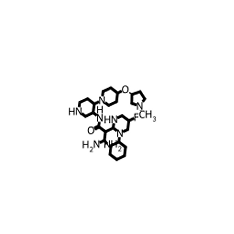 CN1CC[C@@H](OC2CCN(C3CCNCC3NC(=O)C(C(N)N)C3NCC(F)CN3C3CCCCC3)CC2)C1